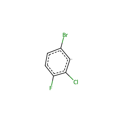 Fc1ccc(Br)[c]c1Cl